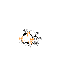 CC(C)C1C[PH](C)(C)C#CP[PH](C)(C)/C=C\[PH](C)(C)[PH]1(C)C